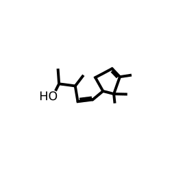 CC1=CCC(/C=C\C(C)C(C)O)C1(C)C